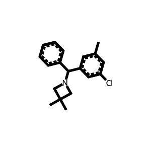 Cc1cc(Cl)cc(C(c2ccccc2)N2CC(C)(C)C2)c1